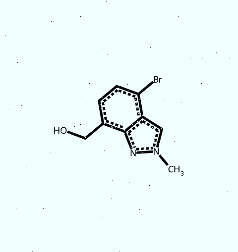 Cn1cc2c(Br)ccc(CO)c2n1